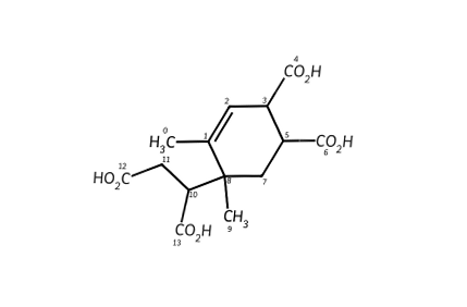 CC1=CC(C(=O)O)C(C(=O)O)CC1(C)C(CC(=O)O)C(=O)O